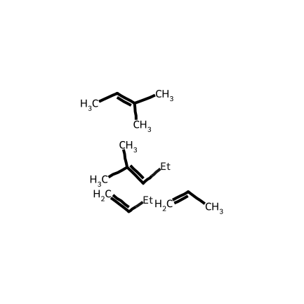 C=CC.C=CCC.CC=C(C)C.CCC=C(C)C